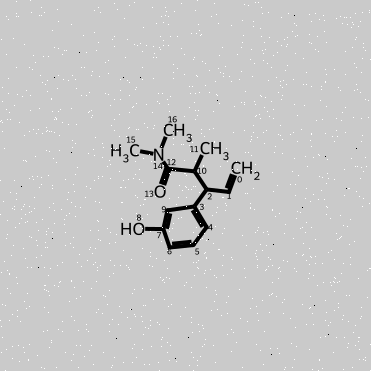 C=CC(c1cccc(O)c1)C(C)C(=O)N(C)C